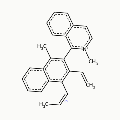 C=Cc1c(-c2c3ccccc3cc[n+]2C)c(C)c2ccccc2c1/C=C\C